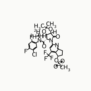 [2H]C([2H])([2H])N(C(=O)[C@@H]1[C@@H]2OC(C)(C)O[C@@H]2C(=O)N1c1cc(C(F)(F)F)c2c(n1)CCC2OS(C)(=O)=O)c1cc(Cl)c(F)cc1F